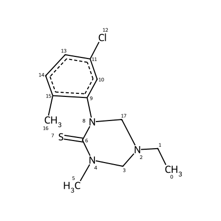 CCN1CN(C)C(=S)N(c2cc(Cl)ccc2C)C1